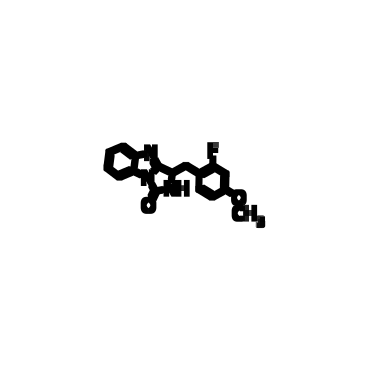 COc1ccc(CC2NC(=O)n3c2nc2ccccc23)c(F)c1